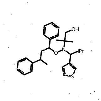 CC(CC(ON(C(c1ccsc1)C(C)C)C(C)(C)CO)c1ccccc1)c1ccccc1